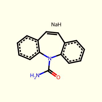 NC(=O)N1c2ccccc2C=Cc2ccccc21.[NaH]